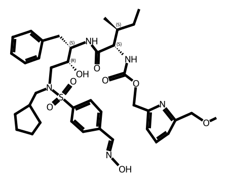 CC[C@H](C)[C@H](NC(=O)OCc1cccc(COC)n1)C(=O)N[C@@H](Cc1ccccc1)[C@H](O)CN(CC1CCCC1)S(=O)(=O)c1ccc(C=NO)cc1